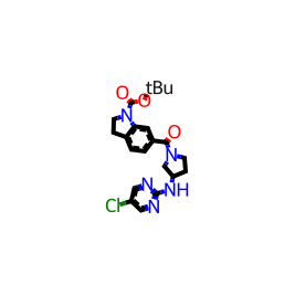 CC(C)(C)OC(=O)N1CCc2ccc(C(=O)N3CCC(Nc4ncc(Cl)cn4)C3)cc21